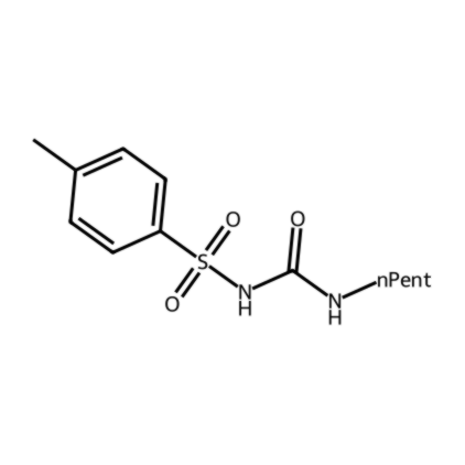 CCCCCNC(=O)NS(=O)(=O)c1ccc(C)cc1